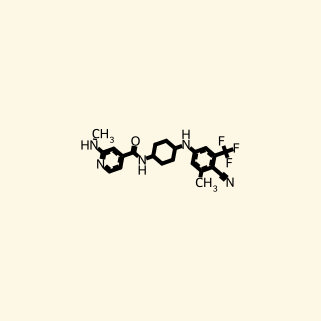 CNc1cc(C(=O)NC2CCC(Nc3cc(C)c(C#N)c(C(F)(F)F)c3)CC2)ccn1